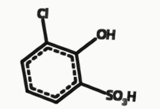 O=S(=O)(O)c1cccc(Cl)c1O